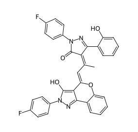 CC(C=C1Oc2ccccc2-c2nn(-c3ccc(F)cc3)c(O)c21)=C1C(=O)N(c2ccc(F)cc2)N=C1c1ccccc1O